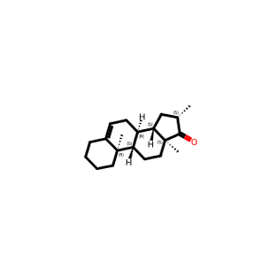 C[C@H]1C[C@H]2[C@@H]3CC=C4CCCC[C@]4(C)[C@H]3CC[C@]2(C)C1=O